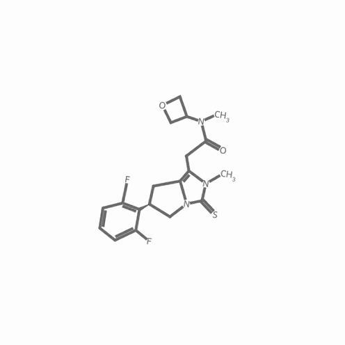 CN(C(=O)Cc1c2n(c(=S)n1C)C[C@@H](c1c(F)cccc1F)C2)C1COC1